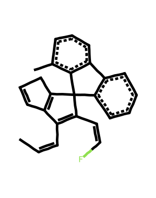 C/C=C\C1=C(/C=C\F)C2(C3=C1C=CC3)c1ccccc1-c1cccc(C)c12